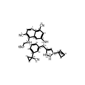 CC(C)(C)CNc1c(C#N)cnc2c(C#N)cc(N[C@H](C3=CN(C45CC(C4)C5)NN3)c3cccc(C4(C#N)CC4)c3)cc12